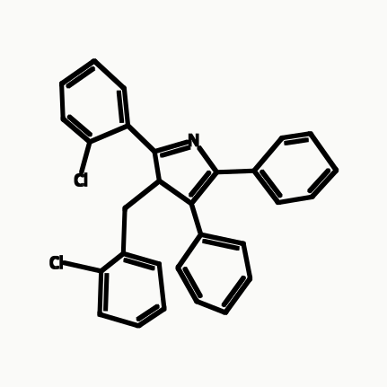 Clc1ccccc1CC1C(c2ccccc2Cl)=NC(c2ccccc2)=C1c1ccccc1